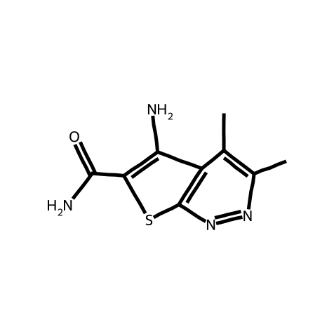 Cc1nnc2sc(C(N)=O)c(N)c2c1C